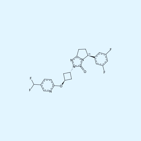 O=c1n2c(nn1[C@H]1C[C@H](Oc3ccc(C(F)F)cn3)C1)CC[C@H]2c1cc(F)cc(F)c1